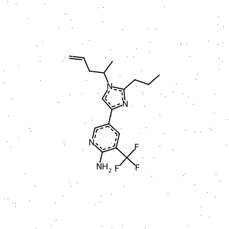 C=CCC(C)n1cc(-c2cnc(N)c(C(F)(F)F)c2)nc1CCC